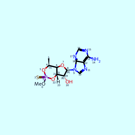 COP1(=S)O[C@@H](C)C2O[C@@H](n3cnc4c(N)ncnc43)[C@H](O)[C@@H]2O1